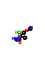 Cl.O=C(c1ccc(OCc2ccncc2)cc1)C(c1ccccc1)c1cc(=O)n2cc[nH]c2n1